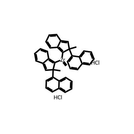 Cl.Cl.[CH2]=[Zr]([C]1=c2ccccc2=CC1(C)c1cccc2ccccc12)[C]1=c2ccccc2=CC1(C)c1cccc2ccccc12